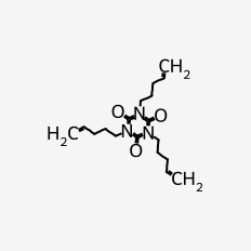 C=CCCCn1c(=O)n(CCCC=C)c(=O)n(CCCC=C)c1=O